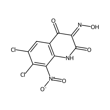 O=C1Nc2c(cc(Cl)c(Cl)c2[N+](=O)[O-])C(=O)/C1=N/O